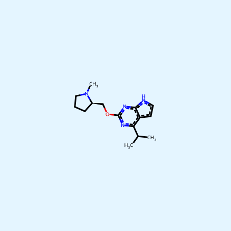 CC(C)c1nc(OC[C@H]2CCCN2C)nc2[nH]ccc12